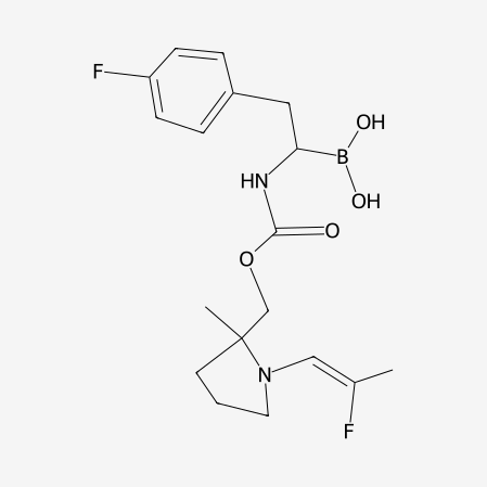 CC(F)=CN1CCCC1(C)COC(=O)NC(Cc1ccc(F)cc1)B(O)O